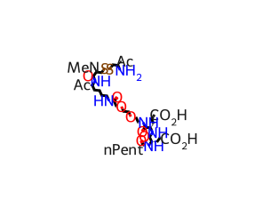 CCCCCC(=O)N[C@@H](CCC(=O)O)C(=O)N[C@@H](CCC(=O)O)C(=O)NCCOCCOCC(=O)NCCCC[C@H](NC(=O)[C@H](CSSC[C@H](N)C(C)=O)NC)C(C)=O